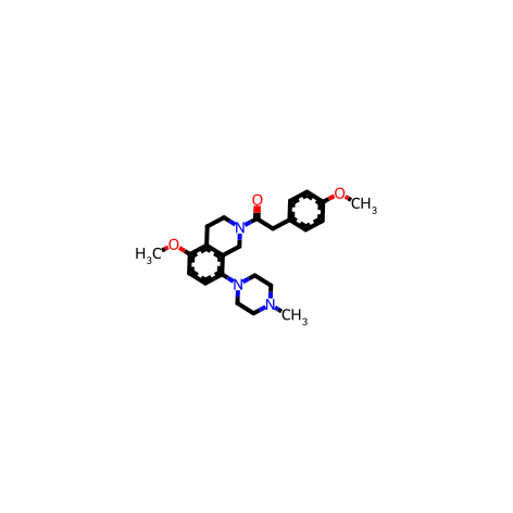 COc1ccc(CC(=O)N2CCc3c(OC)ccc(N4CCN(C)CC4)c3C2)cc1